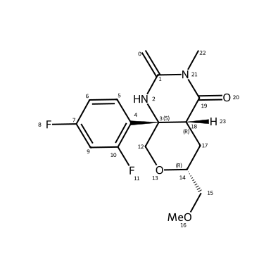 C=C1N[C@@]2(c3ccc(F)cc3F)CO[C@@H](COC)C[C@H]2C(=O)N1C